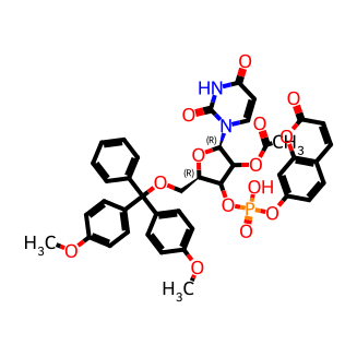 COc1ccc(C(OC[C@H]2O[C@@H](n3ccc(=O)[nH]c3=O)C(OC(C)=O)C2OP(=O)(O)Oc2ccc3ccc(=O)oc3c2)(c2ccccc2)c2ccc(OC)cc2)cc1